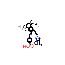 Cc1ccn(CCCc2cc3c(cc2/C=C/c2ccc(C(=O)O)cc2)C(C)(C)CCC3(C)C)n1